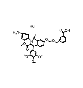 COC(=O)c1c(-c2cc(OC)c(OC)c(OC)c2)c2ccc(OCOCc3cccc(C(=O)O)c3)cc2c(=O)n1-c1ccc(N)cc1.Cl